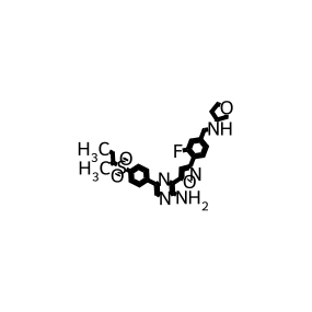 CCC(C)S(=O)(=O)c1ccc(-c2cnc(N)c(-c3cc(-c4ccc(CNC5CCOC5)cc4F)no3)n2)cc1